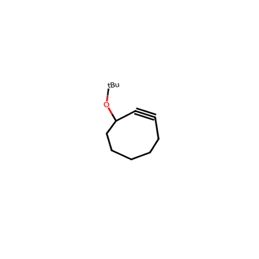 CC(C)(C)OC1C#CCCCCC1